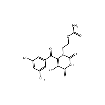 Cc1cc(C#N)cc(C(=O)c2c(C(C)C)c(=O)[nH]c(=O)n2CCOC(N)=O)c1